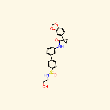 O=C(Nc1cccc(-c2ccc([S+]([O-])NCCO)cc2)c1)C1(c2ccc3c(c2)OCO3)CC1